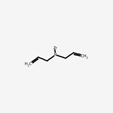 C=CC[N]([Zr])CC=C